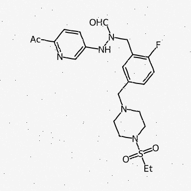 CCS(=O)(=O)N1CCN(Cc2ccc(F)c(CN(C=O)Nc3ccc(C(C)=O)nc3)c2)CC1